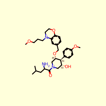 COCCCN1CCOc2ccc(CO[C@H]3CN(C(=O)C(N)CC(C)C)C[C@@H](O)[C@@H]3c3ccc(OC)cc3)cc21